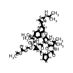 C=C[C@@H]1C[C@]1(NC(=O)[C@@H]1C[C@@H](Oc2cc(-c3csc(NC(C)C)n3)nc3cc(OC)ccc23)CN1C(=O)[C@@H](NC(=O)OC1CCCC1)C(C)(C)C)P(=O)(OCC)OCOC(=O)OCC